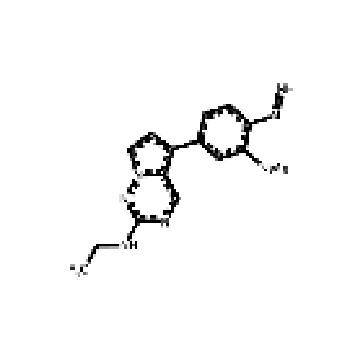 CNc1cc(-c2ccn3nc(NCC(F)(F)F)ncc23)ccc1N=N